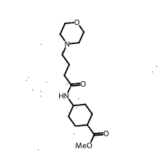 COC(=O)C1CCC(NC(=O)CCCN2CCOCC2)CC1